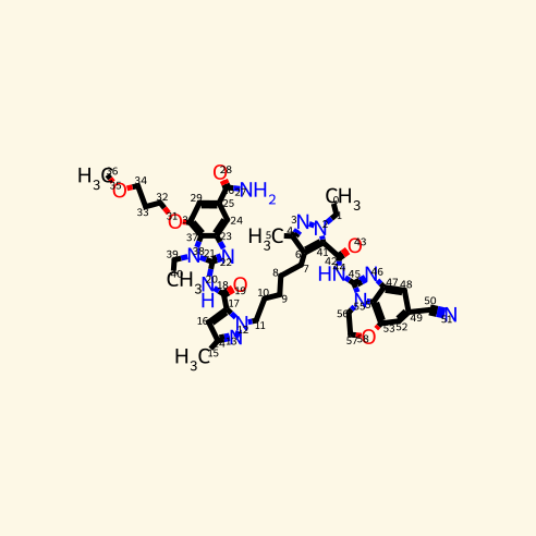 CCn1nc(C)c(CCCCCn2nc(C)cc2C(=O)Nc2nc3cc(C(N)=O)cc(OCCCOC)c3n2CC)c1C(=O)Nc1nc2cc(C#N)cc3c2n1CCO3